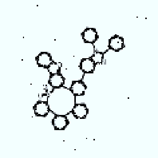 O=S1(=O)c2ccccc2-c2ccccc2-c2ccccc2-c2ccc(-c3ccc4c(c3)nc(-c3ccccc3)n4-c3ccccc3)cc2-c2cc3oc4ccccc4c3cc21